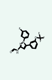 O=CNc1cc(-c2cccc(OC(F)(F)F)c2)n(-c2cccc(F)c2)n1